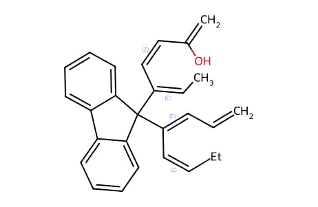 C=C/C=C(\C=C/CC)C1(C(/C=C\C(=C)O)=C/C)c2ccccc2-c2ccccc21